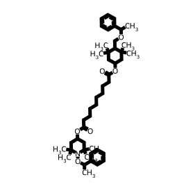 CC(OCC1C(C)(C)CC(OC(=O)CCCCCCCCC(=O)OC2CC(C)(C)N(OC(C)c3ccccc3)C(C)(C)C2)CC1(C)C)c1ccccc1